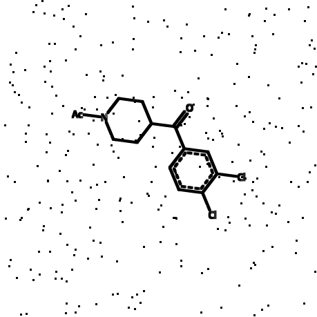 CC(=O)N1CCC(C(=O)c2ccc(Cl)c(Cl)c2)CC1